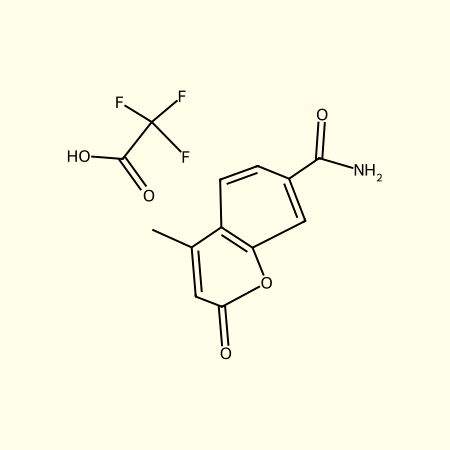 Cc1cc(=O)oc2cc(C(N)=O)ccc12.O=C(O)C(F)(F)F